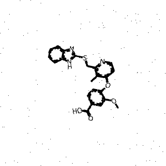 COc1cc(C(=O)O)ccc1Oc1ccnc(CSc2nc3ccccc3[nH]2)c1C